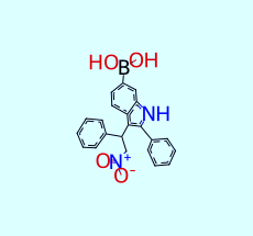 O=[N+]([O-])CC(c1ccccc1)c1c(-c2ccccc2)[nH]c2cc(B(O)O)ccc12